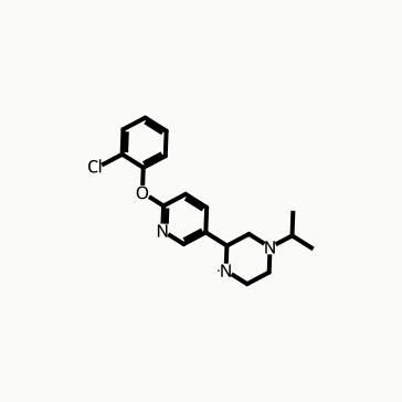 CC(C)N1CC[N]C(c2ccc(Oc3ccccc3Cl)nc2)C1